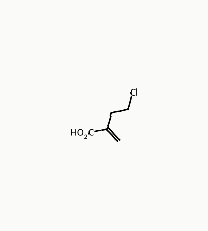 C=C(CCCl)C(=O)O